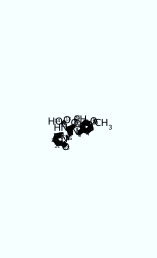 COc1ccc(CN2C(=O)[C@@H](NC(=O)O)[C@H]2Cn2ccccc2=O)c(OC)c1